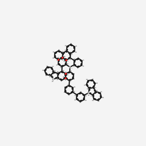 c1cc(-c2ccc(N(c3ccccc3-c3cc4ccccc4c4ccccc34)c3ccccc3-c3cccc4oc5ccccc5c34)cc2)cc(-c2cccc(-n3c4ccccc4c4ccccc43)c2)c1